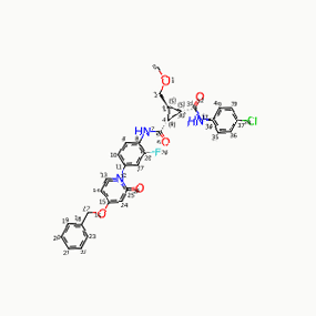 COC[C@@H]1[C@@H](C(=O)Nc2ccc(-n3ccc(OCc4ccccc4)cc3=O)cc2F)[C@H]1C(=O)Nc1ccc(Cl)cc1